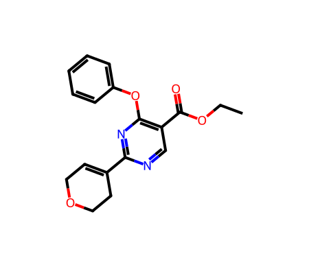 CCOC(=O)c1cnc(C2=CCOCC2)nc1Oc1ccccc1